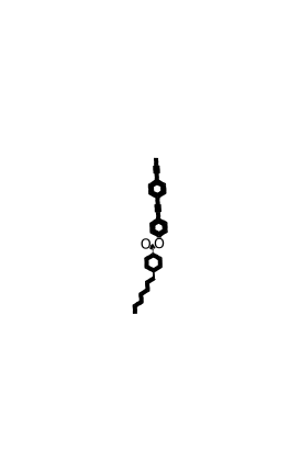 CC#Cc1ccc(C#Cc2ccc(OC(=O)[C@H]3CC[C@H](CCCCCCC)CC3)cc2)cc1